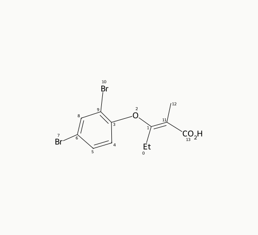 CC/C(Oc1ccc(Br)cc1Br)=C(/C)C(=O)O